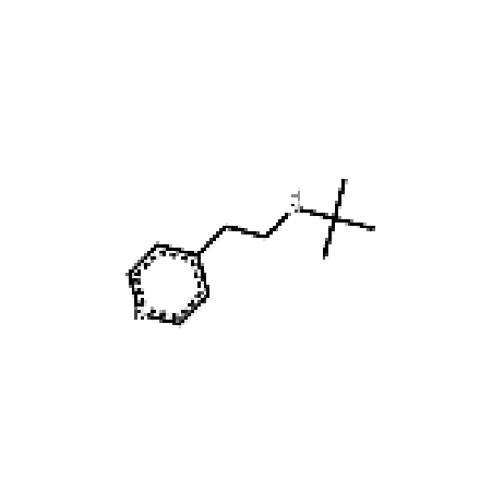 CC(C)(C)NCCc1ccncc1